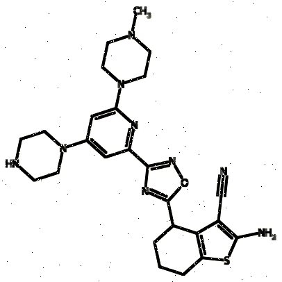 CN1CCN(c2cc(N3CCNCC3)cc(-c3noc(C4CCCc5sc(N)c(C#N)c54)n3)n2)CC1